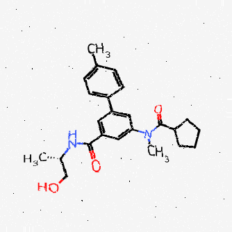 Cc1ccc(-c2cc(C(=O)N[C@@H](C)CO)cc(N(C)C(=O)C3CCCC3)c2)cc1